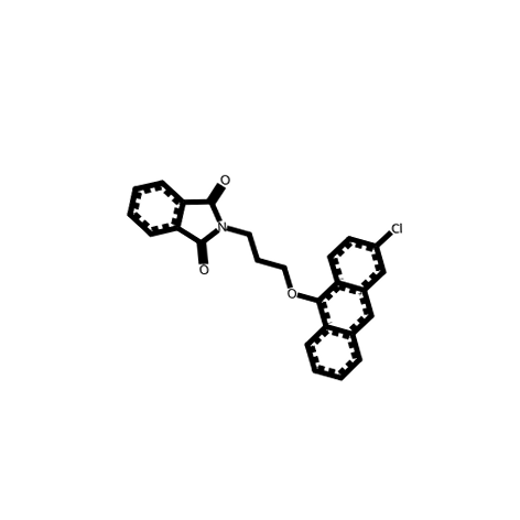 O=C1c2ccccc2C(=O)N1CCCOc1c2ccccc2cc2cc(Cl)ccc12